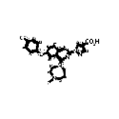 CN1CCCN(c2nc(-n3cc(C(=O)O)cn3)nc3ccc(Oc4ccc(Cl)cc4)cc23)CC1